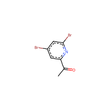 CC(=O)c1cc(Br)cc(Br)n1